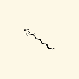 CCC=CCCCO[SiH2]CCC